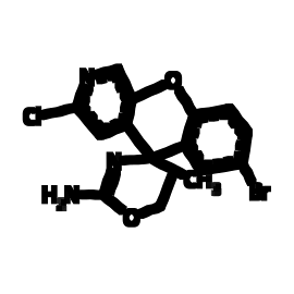 CC1COC(N)=NC12c1cc(Br)ccc1Oc1cnc(Cl)cc12